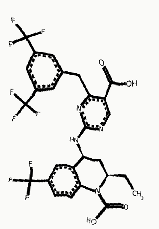 CC[C@@H]1C[C@H](Nc2ncc(C(=O)O)c(Cc3cc(C(F)(F)F)cc(C(F)(F)F)c3)n2)c2cc(C(F)(F)F)ccc2N1C(=O)O